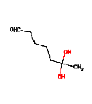 CC(O)(O)CCCCC=O